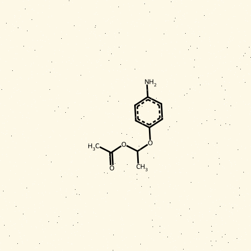 CC(=O)OC(C)Oc1ccc(N)cc1